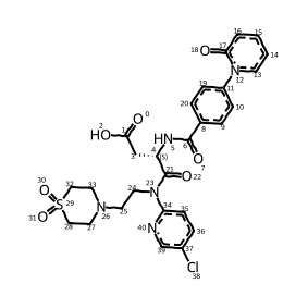 O=C(O)C[C@H](NC(=O)c1ccc(-n2ccccc2=O)cc1)C(=O)N(CCN1CCS(=O)(=O)CC1)c1ccc(Cl)cn1